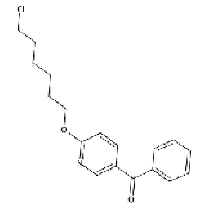 O=C(c1ccccc1)c1ccc(OCCCSCCCl)nc1